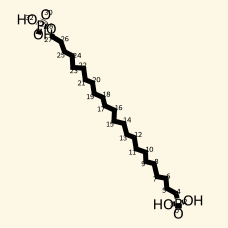 O=P(O)(O)CCCCCCCCCCCCCCCCCCCCCCCCOP(=O)(O)O